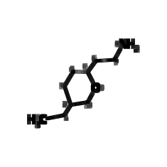 CCC1CCC(CCN)OC1